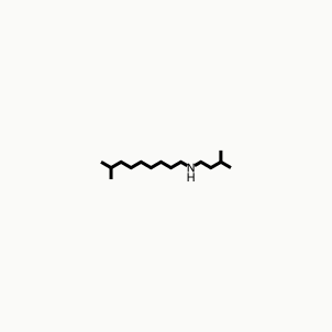 CC(C)CCCCCCCNCCC(C)C